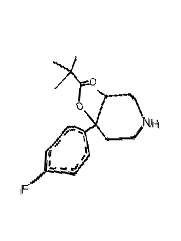 CC1CNCCC1(OC(=O)C(C)(C)C)c1ccc(F)cc1